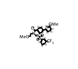 COCCN1CN(S(=O)(=O)c2cccc(C(F)(F)F)c2)c2cc(-c3cccc(OC)n3)ccc2C1=O